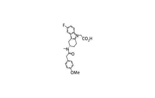 COc1ccc(CC(=O)N(C)[C@H]2CCc3c(c4cc(F)ccc4n3CC(=O)O)C2)cc1